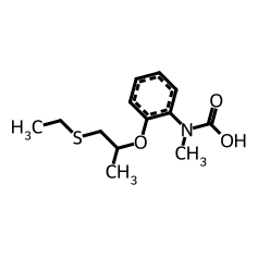 CCSCC(C)Oc1ccccc1N(C)C(=O)O